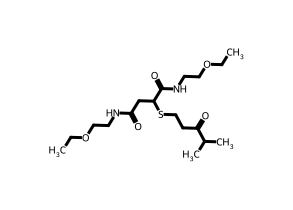 CCOCCNC(=O)CC(SCCC(=O)C(C)C)C(=O)NCCOCC